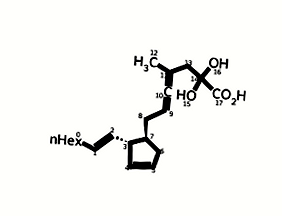 CCCCCCC=C[C@H]1C=CC[C@@H]1CC=C=C(C)CC(O)(O)C(=O)O